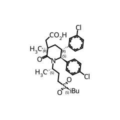 CC[C@H](C)S(=O)(=O)CC[C@H](C)N1C(=O)[C@@](C)(CC(=O)O)C[C@H](c2cccc(Cl)c2)[C@H]1c1ccc(Cl)cc1